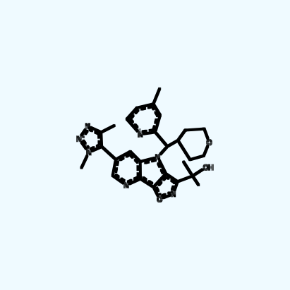 Cc1ccnc(C(C2CCOCC2)n2c3cc(-c4c(C)nnn4C)cnc3c3onc(C(C)(C)O)c32)c1